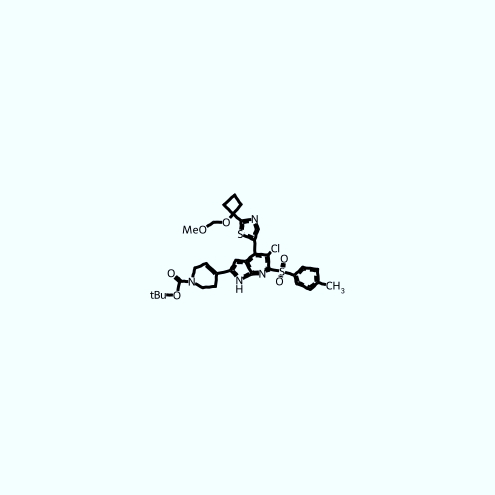 COCOC1(c2ncc(-c3c(Cl)c(S(=O)(=O)c4ccc(C)cc4)nc4[nH]c(C5=CCN(C(=O)OC(C)(C)C)CC5)cc34)s2)CCC1